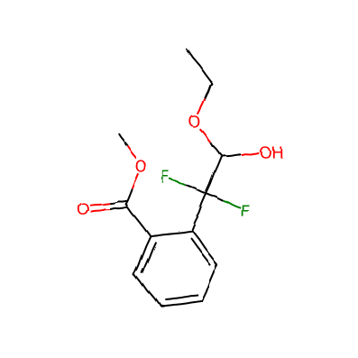 CCOC(O)C(F)(F)c1ccccc1C(=O)OC